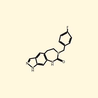 O=C1Nc2cc3[nH]ncc3cc2CCN1Cc1ccc(F)cc1